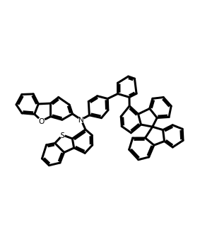 c1ccc(-c2cccc3c2-c2ccccc2C32c3ccccc3-c3ccccc32)c(-c2ccc(N(c3ccc4c(c3)oc3ccccc34)c3cccc4c3sc3ccccc34)cc2)c1